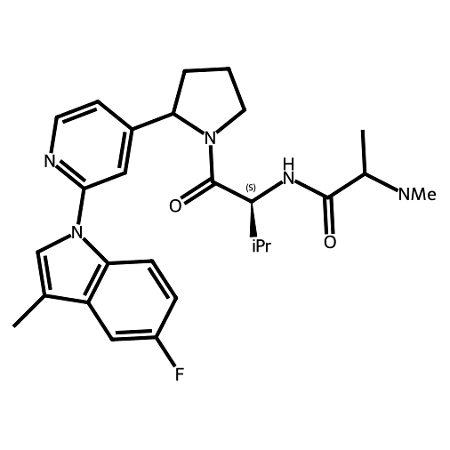 CNC(C)C(=O)N[C@H](C(=O)N1CCCC1c1ccnc(-n2cc(C)c3cc(F)ccc32)c1)C(C)C